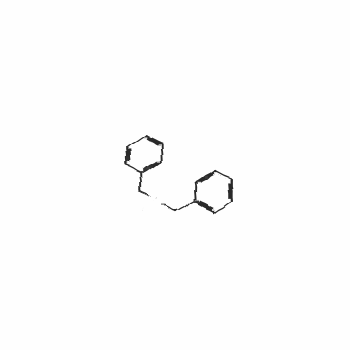 [Br-].c1ccc([CH2][Al+][CH2]c2ccccc2)cc1